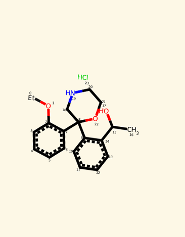 CCOc1ccccc1C1(c2ccccc2C(C)O)CNCCO1.Cl